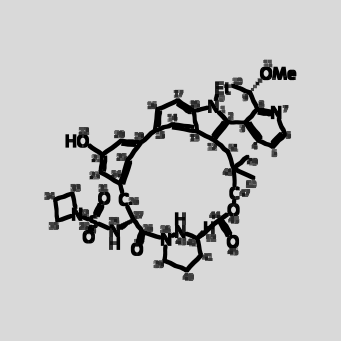 CCn1c(-c2cccnc2[C@H](C)OC)c2c3cc(ccc31)-c1cc(O)cc(c1)C[C@H](NS(=O)(=O)N1CCC1)C(=O)N1CCC[C@H](N1)C(=O)OCC(C)(C)C2